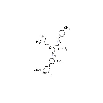 CCCCCCCCCCCCN(CC(CC)CCCC)c1ccc(/N=N/c2cc(C)c(/N=N/c3ccc(C)cc3)cc2OCCC(C)CC(C)(C)C)c(C)c1